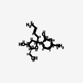 NC=CC[C@]1(n2ccc(N)nc2=O)C[C@H](O)[C@@H](CO)O1